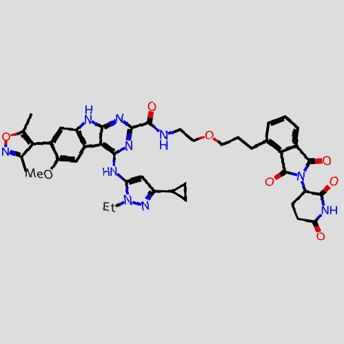 CCn1nc(C2CC2)cc1Nc1nc(C(=O)NCCOCCCc2cccc3c2C(=O)N(C2CCC(=O)NC2=O)C3=O)nc2[nH]c3cc(-c4c(C)noc4C)c(OC)cc3c12